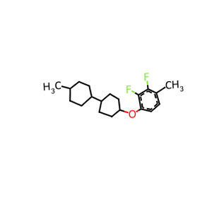 Cc1ccc(OC2CCC(C3CCC(C)CC3)CC2)c(F)c1F